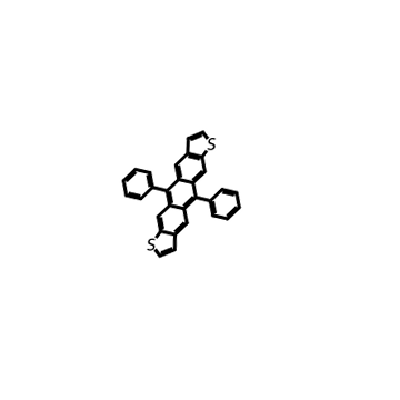 c1ccc(-c2c3cc4ccsc4cc3c(-c3ccccc3)c3cc4ccsc4cc23)cc1